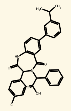 CC(C)c1cccc(-c2ccc3c(c2)C(=O)N(C(C(=O)O)c2ccccc2)C(c2ccc(Cl)cc2)C(=O)N3)c1